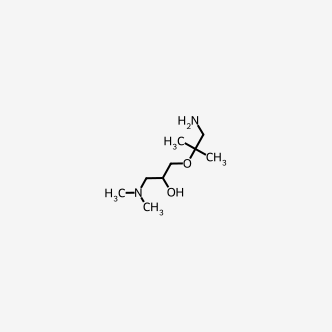 CN(C)CC(O)COC(C)(C)CN